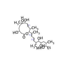 CCC(OC)C(C)CC(O)C(O)C(C)/C=C/C=C(\C)C1OC(=O)CC(O)CCC(C)(O)C(O)/C=C/C1C